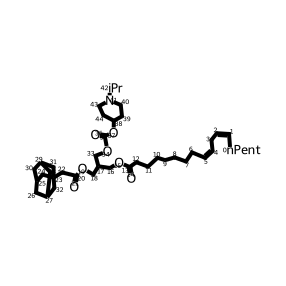 CCCCC/C=C\C/C=C\CCCCCCCC(=O)OCC(COC(=O)CC12CC3CC(CC(C3)C1)C2)COC(=O)OC1CCN(C(C)C)CC1